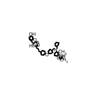 Cc1c(NS(C)(=O)=O)cccc1N(Cc1ccccc1)Cc1ccc(Oc2ccc(CCCC(=O)N[C@H](Cc3ccc(O)cc3)C(=O)O)cc2)cc1